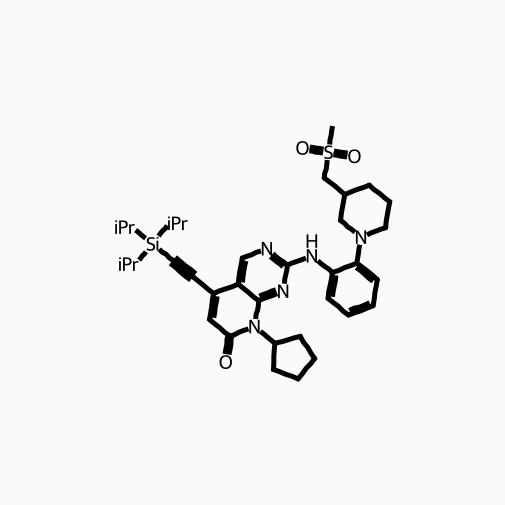 CC(C)[Si](C#Cc1cc(=O)n(C2CCCC2)c2nc(Nc3ccccc3N3CCCC(CS(C)(=O)=O)C3)ncc12)(C(C)C)C(C)C